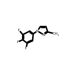 Cc1ccn(-c2cc(F)c(F)c(F)c2)n1